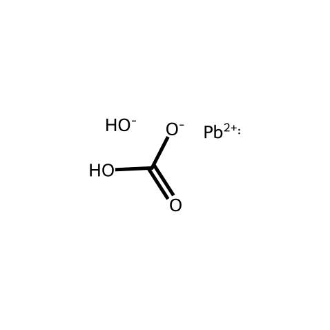 O=C([O-])O.[OH-].[Pb+2]